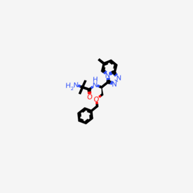 Cc1ccc2nnc([C@@H](COCc3ccccc3)NC(=O)C(C)(C)N)n2c1